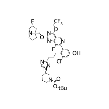 CC(C)(C)OC(=O)N1CCCC(n2cnc(CCCc3c(Cl)cc(O)cc3-c3ncc4c(OCC(F)(F)F)nc(OC[C@@]56CCCN5C[C@H](F)C6)nc4c3F)n2)C1